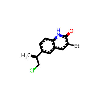 C=C(CCl)c1ccc2[nH]c(=O)c(CC)cc2c1